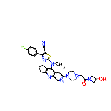 CN(c1nc(-c2ccc(F)cc2)c(C#N)s1)c1c2c(nc3cnc(N4CCN(CC(=O)N5CC(O)C5)CC4)cc13)CCC2